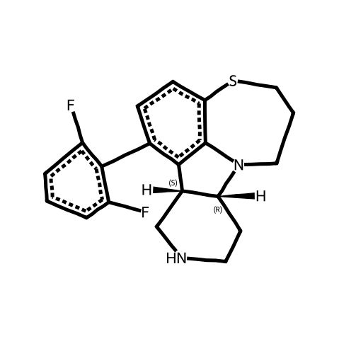 Fc1cccc(F)c1-c1ccc2c3c1[C@H]1CNCC[C@H]1N3CCCS2